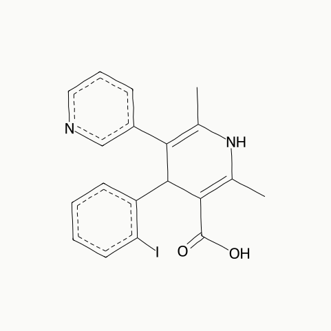 CC1=C(C(=O)O)C(c2ccccc2I)C(c2cccnc2)=C(C)N1